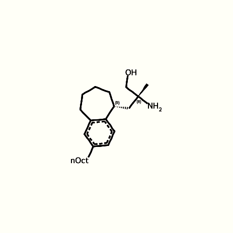 CCCCCCCCc1ccc2c(c1)CCCC[C@@H]2C[C@@](C)(N)CO